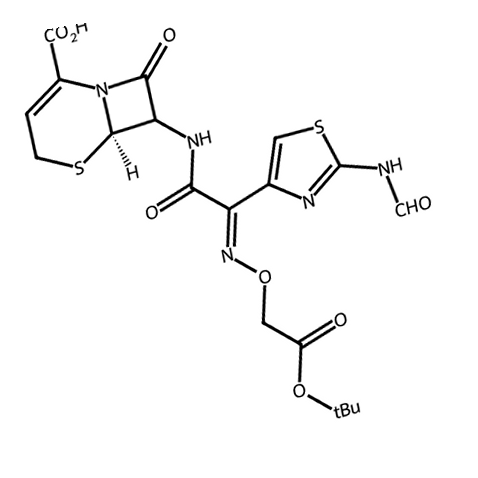 CC(C)(C)OC(=O)CO/N=C(/C(=O)NC1C(=O)N2C(C(=O)O)=CCS[C@H]12)c1csc(NC=O)n1